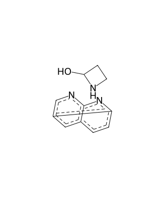 OC1CCN1.c1nc2nc3ccc2cc13